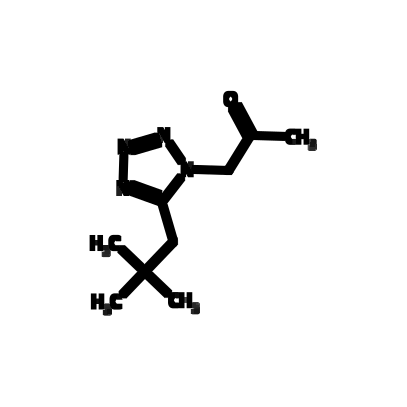 CC(=O)Cn1nnnc1CC(C)(C)C